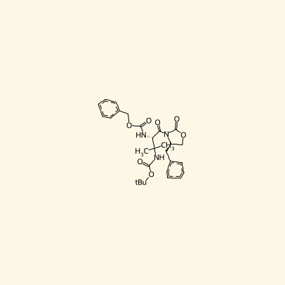 CC(C)(C)OC(=O)NC(C)(C)[C@H](NC(=O)OCc1ccccc1)C(=O)N1C(=O)OC[C@H]1Cc1ccccc1